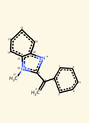 C=C(c1ccccc1)c1nc2ccccc2n1C